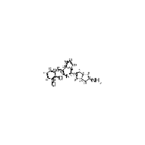 NC1CC2CN(c3ncc(Sc4cccc(Cl)c4Cl)c4nccn34)CC2C1